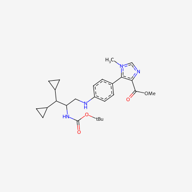 COC(=O)c1ncn(C)c1-c1ccc(NCC(NC(=O)OC(C)(C)C)C(C2CC2)C2CC2)cc1